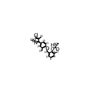 CNC(=O)Oc1c(C)cccc1COc1ccc(-c2nn(C)c(Cl)c2C)cc1C